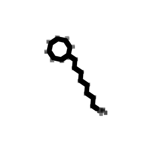 CCCCCCCCCC1CCCCCCC1